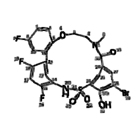 CN1CCOc2ccc(F)cc2-c2cc(c(F)cc2F)NS(=O)(=O)c2cc(cc(Br)c2O)C1=O